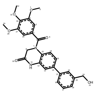 COc1cc(C(=O)N2CC(=O)Nc3cc(-c4cccc(CO)c4)ccc32)cc(OC)c1OC